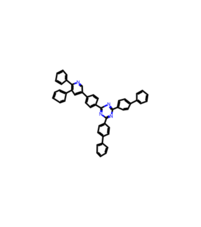 c1ccc(-c2ccc(-c3nc(-c4ccc(-c5ccccc5)cc4)nc(-c4ccc(-c5cnc(-c6ccccc6)c(-c6ccccc6)c5)cc4)n3)cc2)cc1